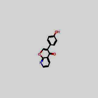 O=c1c(-c2ccc(O)cc2)coc2ncccc12